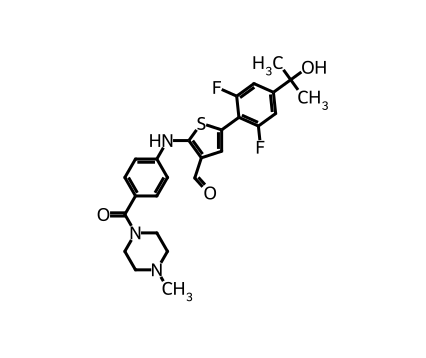 CN1CCN(C(=O)c2ccc(Nc3sc(-c4c(F)cc(C(C)(C)O)cc4F)cc3C=O)cc2)CC1